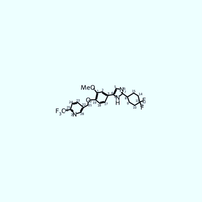 COc1cc(-c2cnc(C3CCC(F)(F)CC3)[nH]2)ccc1OCc1ccc(C(F)(F)F)nc1